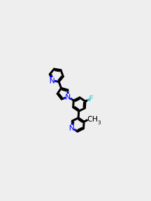 Cc1ccncc1-c1cc(F)cc(-n2ccc(-c3ccccn3)c2)c1